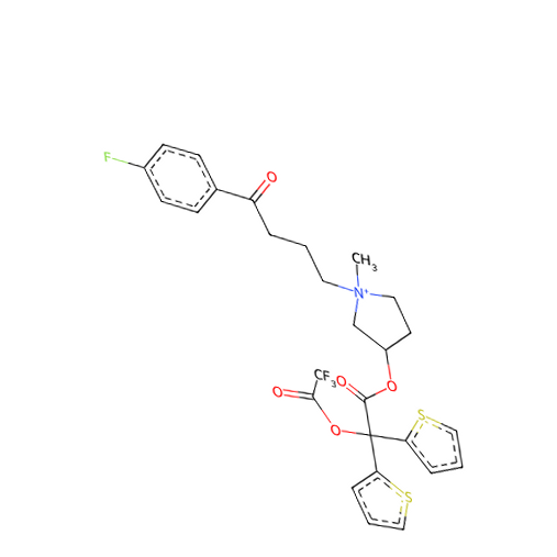 C[N+]1(CCCC(=O)c2ccc(F)cc2)CCC(OC(=O)C(OC(=O)C(F)(F)F)(c2cccs2)c2cccs2)C1